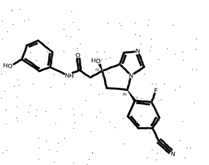 N#Cc1ccc([C@H]2C[C@](O)(CC(=O)Nc3cccc(O)c3)c3cncn32)c(F)c1